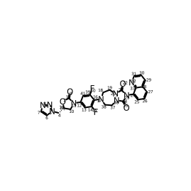 O=C1O[C@@H](Cn2ccnn2)CN1c1cc(F)c(N2CCn3c(=O)n(-c4cccc5cccnc45)c(=O)n3CC2)c(F)c1